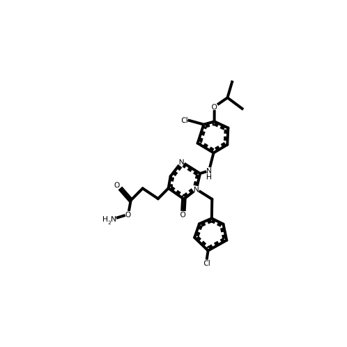 CC(C)Oc1ccc(Nc2ncc(CCC(=O)ON)c(=O)n2Cc2ccc(Cl)cc2)cc1Cl